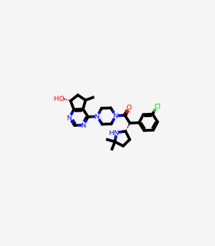 CC1C[C@@H](O)c2ncnc(N3CCN(C(=O)C(c4cccc(Cl)c4)[C@@H]4CCC(C)(C)N4)CC3)c21